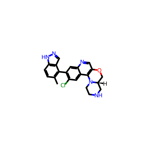 Cc1ccc2[nH]ncc2c1-c1cc2ncc3c(c2cc1Cl)N1CCNC[C@H]1CO3